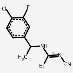 CC/C(=N\C#N)NC(C)c1ccc(Cl)c(F)c1